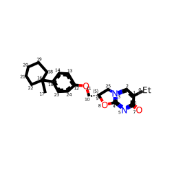 CCc1cn2c(nc1=O)O[C@H](COc1ccc(C3(C)CCCCC3)cc1)C2